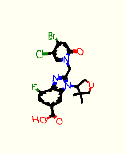 CC1(C)COCC1n1c(Cn2cc(Cl)c(Br)cc2=O)nc2c(F)cc(C(=O)O)cc21